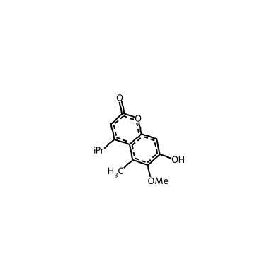 COc1c(O)cc2oc(=O)cc(C(C)C)c2c1C